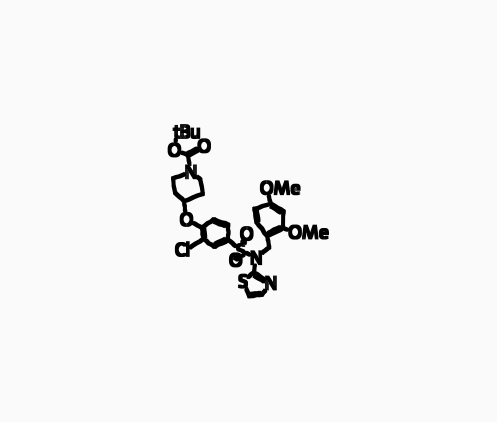 COc1ccc(CN(c2nccs2)S(=O)(=O)c2ccc(OC3CCN(C(=O)OC(C)(C)C)CC3)c(Cl)c2)c(OC)c1